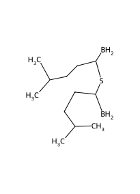 BC(CCC(C)C)SC(B)CCC(C)C